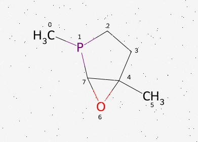 CP1CCC2(C)OC12